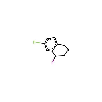 Fc1ccc2c(c1)C(I)CCC2